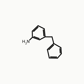 Nc1cccc(Cc2ccccc2)c1